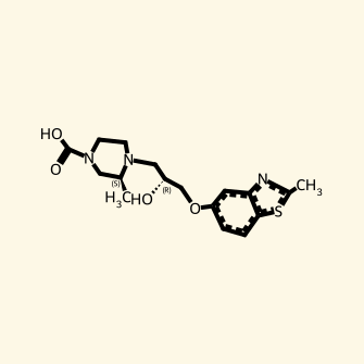 Cc1nc2cc(OC[C@H](O)CN3CCN(C(=O)O)C[C@@H]3C)ccc2s1